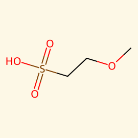 COCCS(=O)(=O)O